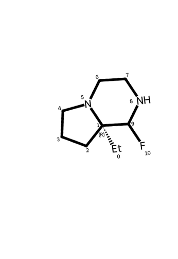 CC[C@]12CCCN1CCNC2F